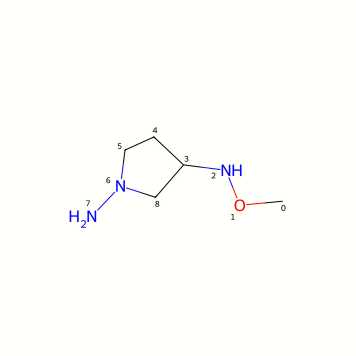 CONC1CCN(N)C1